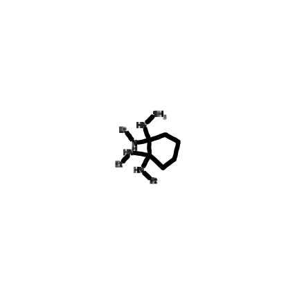 CCNC1(N[SiH3])CCCCC1(NCC)NCC